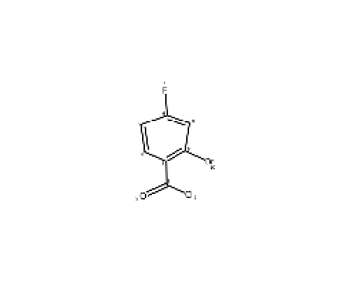 O=C(Cl)c1ccc(F)cc1Br